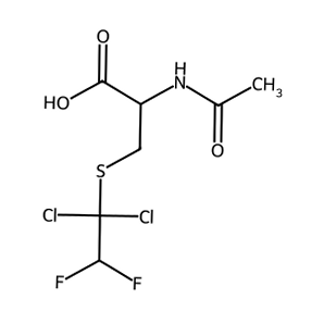 CC(=O)NC(CSC(Cl)(Cl)C(F)F)C(=O)O